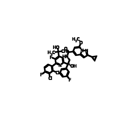 COc1cc(C(=O)NC[C@@](O)(c2cccc(F)c2)c2cc(C(C)(C)O)c(F)c(-c3ccc(F)c(Cl)c3Cl)n2)cc2cc(C3CC3)nn12